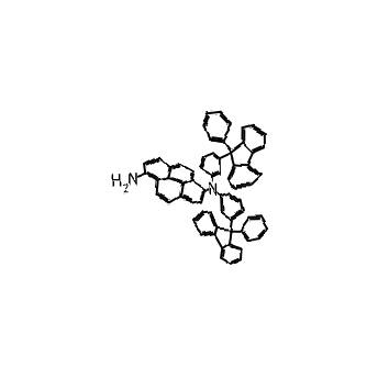 Nc1ccc2ccc3c(N(c4cccc(C5(c6ccccc6)c6ccccc6-c6ccccc65)c4)c4cccc(C5(c6ccccc6)c6ccccc6-c6ccccc65)c4)ccc4ccc1c2c43